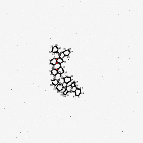 c1ccc(-c2ccc(-c3ccccc3N(c3ccc(-c4ccc5c(c4)c4ccccc4n5-c4ccccc4)cc3)c3cccc4c3-c3ccccc3C43c4ccccc4-n4c5ccccc5c5cccc3c54)cc2)cc1